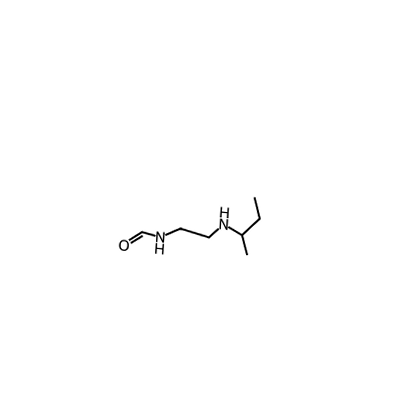 CCC(C)NCCNC=O